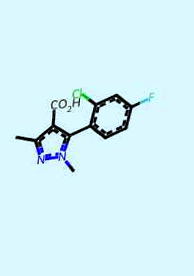 Cc1nn(C)c(-c2ccc(F)cc2Cl)c1C(=O)O